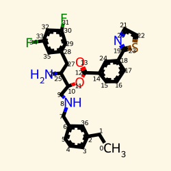 CCc1cccc(CNCC(OC(=O)c2cccc(-c3nccs3)c2)C(N)Cc2cc(F)cc(F)c2)c1